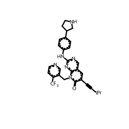 CC(C)C#Cc1cc2cnc(Nc3ccc(C4CCNC4)cc3)nc2n(Cc2cnccc2C(F)(F)F)c1=O